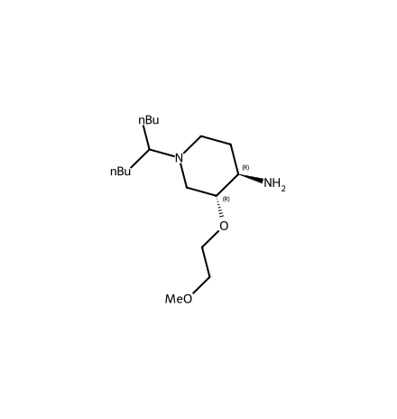 CCCCC(CCCC)N1CC[C@@H](N)[C@H](OCCOC)C1